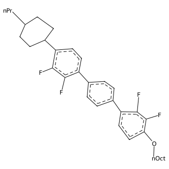 CCCCCCCCOc1ccc(-c2ccc(-c3ccc(C4CCC(CCC)CC4)c(F)c3F)cc2)c(F)c1F